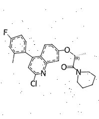 Cc1cc(F)ccc1-c1cc(Cl)nc2cc(O[C@H](C)C(=O)N3CCCCC3)ccc12